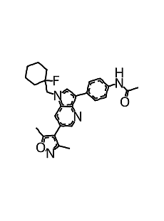 CC(=O)Nc1ccc(-c2cn(CC3(F)CCCCC3)c3cc(-c4c(C)noc4C)cnc23)cc1